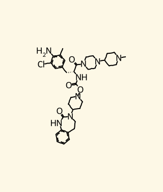 Cc1cc(C[C@@H](NC(=O)ON2CCC(N3CCc4ccccc4NC3=O)CC2)C(=O)N2CCN(C3CCN(C)CC3)CC2)cc(Cl)c1N